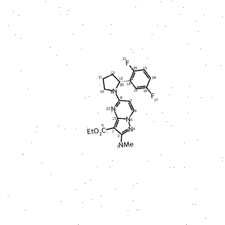 CCOC(=O)c1c(NC)nn2ccc(N3CCC[C@@H]3c3cc(F)ccc3F)nc12